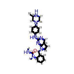 CNC(=O)N(C)c1ccccc1Cn1ccc2cnc(Nc3ccc(N4CCNC(C)C4)cc3)nc21